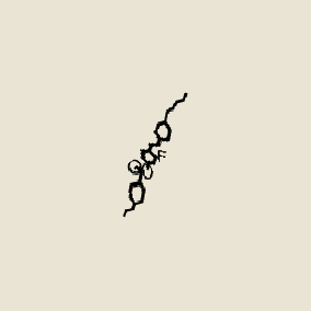 CCCCCC1CCC(CCc2ccc(OC(=O)C3CCC(CCC)CC3)cc2F)CC1